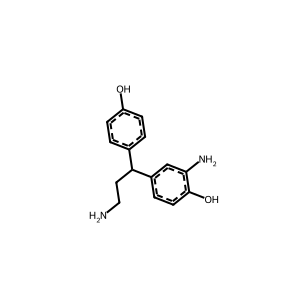 NCCC(c1ccc(O)cc1)c1ccc(O)c(N)c1